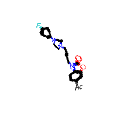 CC(=O)c1ccc2c(c1)oc(=O)n2CC#CCN1CCN(c2ccc(F)cc2)CC1